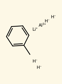 Cc1ccccc1.[Al+3].[H-].[H-].[H-].[H-].[Li+]